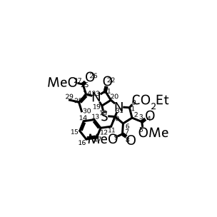 CCOC(=O)C1C(C(=O)OC)C(C(=O)OC)C2(Cc3ccccc3)SC3C(C(=O)N3C(C(=O)OC)=C(C)C)N12